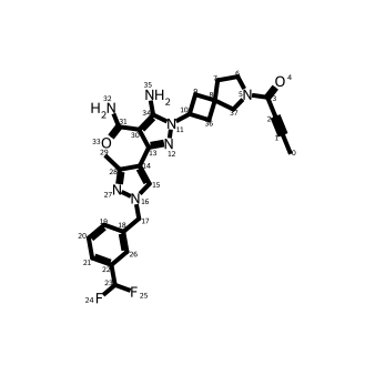 CC#CC(=O)N1CCC2(CC(n3nc(-c4cn(Cc5cccc(C(F)F)c5)nc4C)c(C(N)=O)c3N)C2)C1